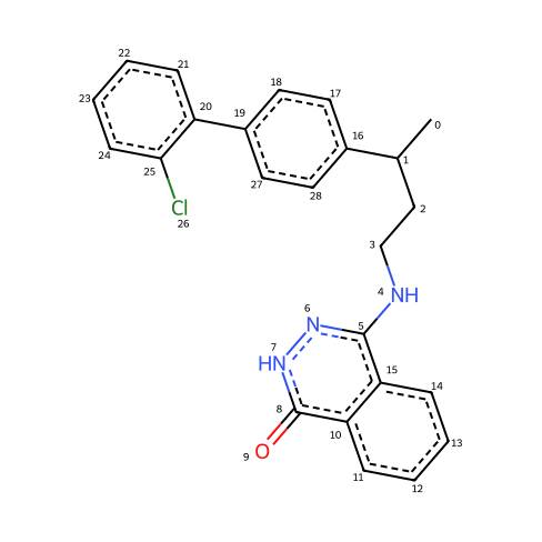 CC(CCNc1n[nH]c(=O)c2ccccc12)c1ccc(-c2ccccc2Cl)cc1